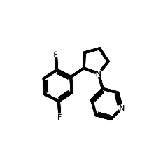 Fc1ccc(F)c(C2CCCN2c2cccnc2)c1